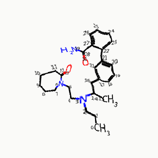 CCCN(CCN1CCCCCC1=O)C(C)Cc1cccc(-c2ccccc2C(N)=O)c1